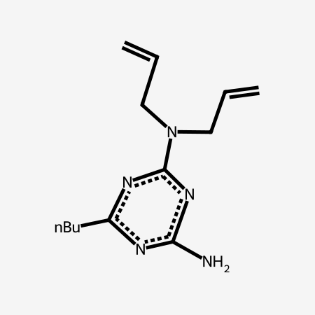 C=CCN(CC=C)c1nc(N)nc(CCCC)n1